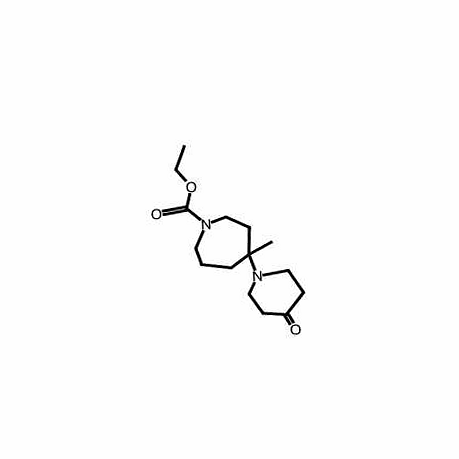 CCOC(=O)N1CCCC(C)(N2CCC(=O)CC2)CC1